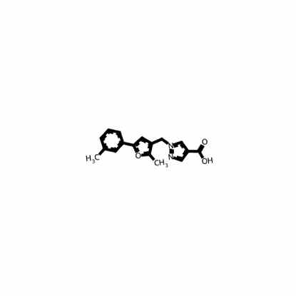 Cc1cccc(-c2cc(Cn3cc(C(=O)O)cn3)c(C)o2)c1